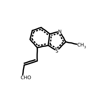 Cc1nc2cccc(/C=C/C=O)c2s1